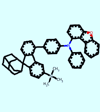 C[Si](C)(C)c1ccc2c(c1)-c1c(-c3ccc(N(c4ccccc4)c4cccc5oc6ccccc6c45)cc3)cccc1C21C2CC3CC(C2)CC1C3